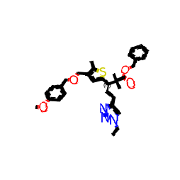 CCn1cc(CC[C@@H](c2cc(COCc3ccc(OC)cc3)c(C)s2)C(C)(C)C(=O)OCc2ccccc2)nn1